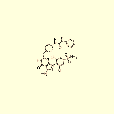 CN(C)c1nn(-c2c(Cl)cc(S(N)(=O)=O)cc2Cl)c2nc(Cc3ccc(NC(=O)Nc4ccccc4)cc3)[nH]c(=O)c12